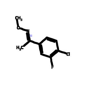 CO/N=C(\C)c1ccc(Cl)c(F)c1